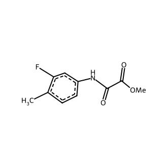 COC(=O)C(=O)Nc1ccc(C)c(F)c1